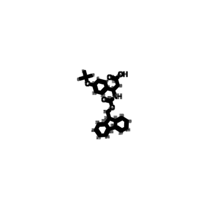 CC(C)(C)Oc1ccc(C(CC(=O)O)NC(=O)OCC2c3ccccc3-c3ccccc32)cc1